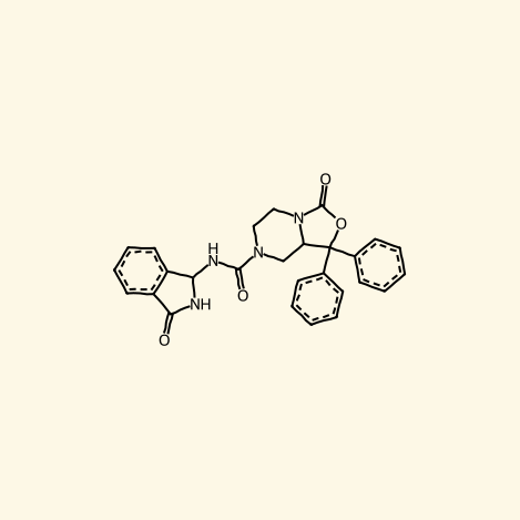 O=C1NC(NC(=O)N2CCN3C(=O)OC(c4ccccc4)(c4ccccc4)C3C2)c2ccccc21